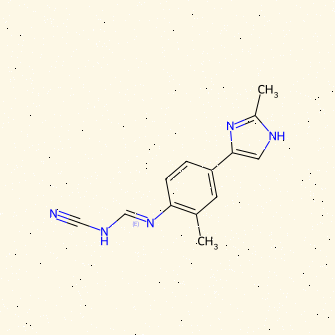 Cc1nc(-c2ccc(/N=C/NC#N)c(C)c2)c[nH]1